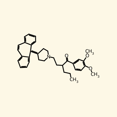 CCCC(CCN1CCC(=C2c3ccccc3C=Cc3ccccc32)CC1)C(=O)c1ccc(OC)c(OC)c1